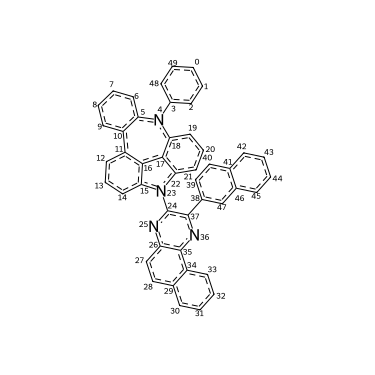 c1ccc(-n2c3ccccc3c3cccc4c3c3c2cccc3n4-c2nc3ccc4ccccc4c3nc2-c2ccc3ccccc3c2)cc1